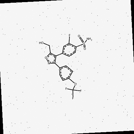 NS(=O)(=O)c1ccc(-c2c(-c3ccc(OC(F)(F)F)cc3)noc2CO)cc1F